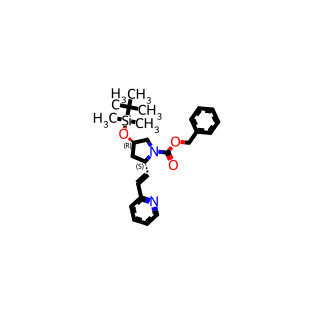 CC(C)(C)[Si](C)(C)O[C@@H]1C[C@@H](C=Cc2ccccn2)N(C(=O)OCc2ccccc2)C1